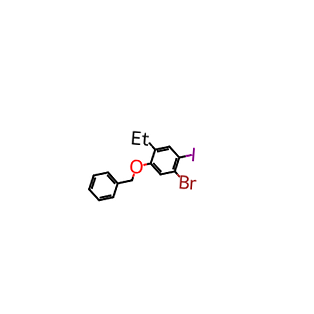 CCc1cc(I)c(Br)cc1OCc1ccccc1